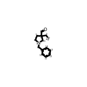 O=CC1(CF)CCN(Cc2ccccc2)C1